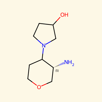 N[C@@H]1COCCC1N1CCC(O)C1